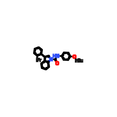 CCCCOc1ccc(NC(=O)n2cc(-c3ccccc3C(C)C)c3ccccc32)cc1